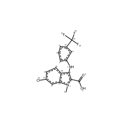 Cn1c(C(=O)O)c(Nc2cccc(C(F)(F)F)c2)c2ccc(Cl)cc21